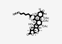 CC(=O)O[C@H]1[C@H]2[C@@H](C(=O)C(OC(=O)CCCCN=[N+]=[N-])[C@H]3C[C@@H]4O[C@@H]4[C@H](OC(C)=O)[C@]23C)[C@@H]2[C@@H](O)[C@@H]3[C@H]([C@H](C)O[C@@]4(C)OC(=O)[C@@](C)(O)[C@]34C)[C@@]2(C)[C@H]1OC(C)=O